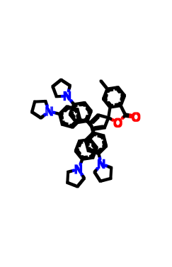 Cc1ccc2c(c1)C(C=C(c1ccc(N3CCCC3)cc1)c1ccc(N3CCCC3)cc1)(C=C(c1ccc(N3CCCC3)cc1)c1ccc(N3CCCC3)cc1)OC2=O